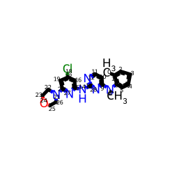 Cc1cc[c]cc1N(C)c1ccnc(Nc2cc(Cl)cc(N3CCOCC3)n2)n1